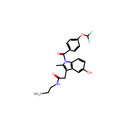 Cc1c(CC(=O)NCCC(=O)O)c2cc(O)ccc2n1C(=O)c1ccc(OC(F)F)cc1